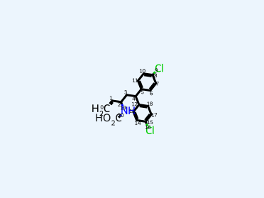 C=CC(CC(c1ccc(Cl)cc1)c1ccc(Cl)cc1)NC(=O)O